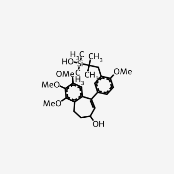 COc1ccc(C2=CC(O)CCc3c2cc(OC)c(OC)c3OC)cc1CC(C)(C)[Si](C)(C)O